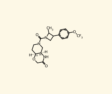 CC1C(c2ccc(OC(F)(F)F)cc2)CN1C(=O)N1CC[C@@H]2OCC(=O)N[C@@H]2C1